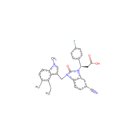 CCc1c(C)ccc2c1c(Cn1c(=O)n([C@H](CC(=O)O)c3ccc(F)cc3)c3cc(C#N)ccc31)cn2C